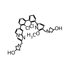 COc1nc(-c2cccc(-c3cccc(-c4ccn5cc(CN6CC(O)C6)nc5c4)c3Cl)c2Cl)ccc1CN1CC(O)C1